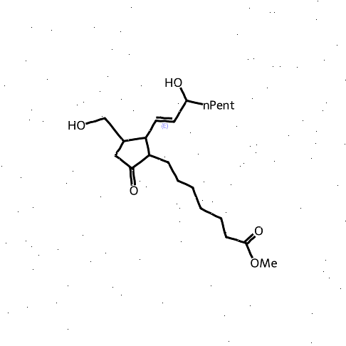 CCCCCC(O)/C=C/C1C(CO)CC(=O)C1CCCCCCC(=O)OC